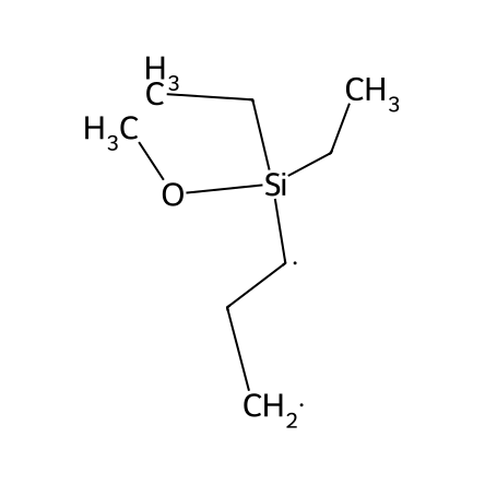 [CH2]C[CH][Si](CC)(CC)OC